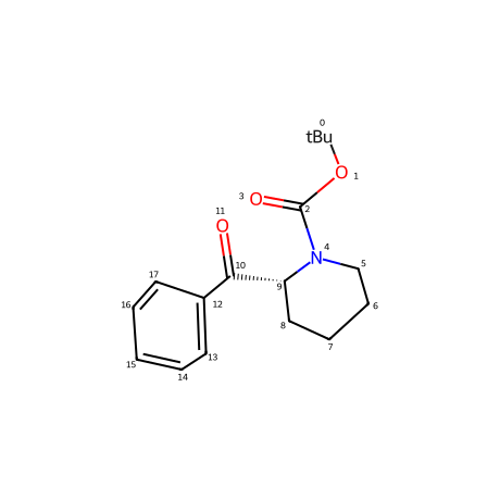 CC(C)(C)OC(=O)N1CCCC[C@@H]1C(=O)c1ccccc1